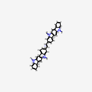 Cn1c2ccccc2c2cc3c(cc21)c1ccc(/C=C/c2ccc4c5cc6c(cc5n(C)c4c2)c2ccccc2n6C)cc1n3C